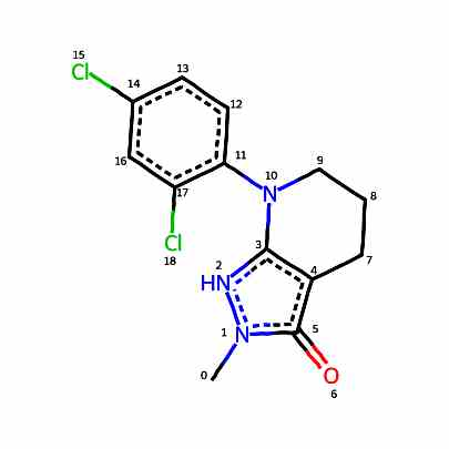 Cn1[nH]c2c(c1=O)CCCN2c1ccc(Cl)cc1Cl